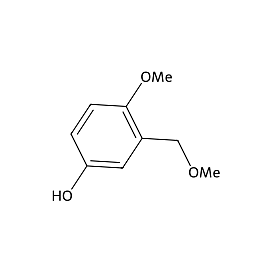 COCc1cc(O)ccc1OC